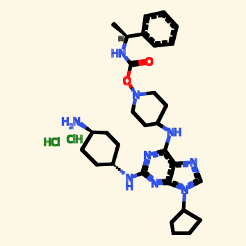 C[C@H](NC(=O)ON1CCC(Nc2nc(N[C@H]3CC[C@H](N)CC3)nc3c2ncn3C2CCCC2)CC1)c1ccccc1.Cl.Cl